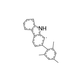 Cc1cc(C)c(-c2[c]c3[nH]c4ccccc4c3cc2)c(C)c1